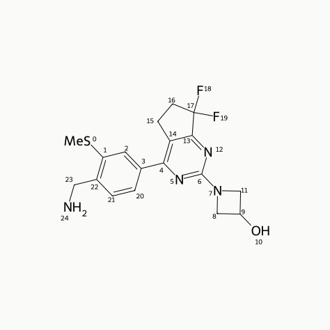 CSc1cc(-c2nc(N3CC(O)C3)nc3c2CCC3(F)F)ccc1CN